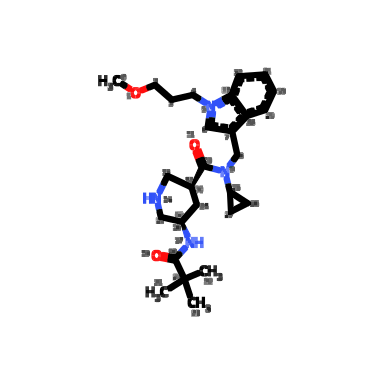 COCCCn1cc(CN(C(=O)[C@@H]2CNC[C@H](NC(=O)C(C)(C)C)C2)C2CC2)c2ccccc21